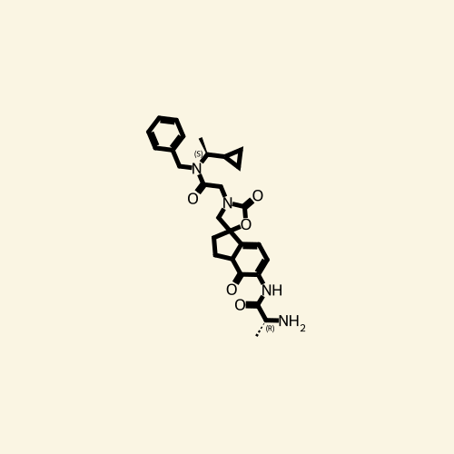 C[C@@H](N)C(=O)NC1=CC=C2C(CCC23CN(CC(=O)N(Cc2ccccc2)[C@@H](C)C2CC2)C(=O)O3)C1=O